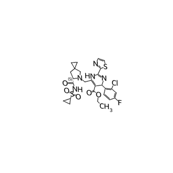 CCOC(=O)C1=C(CN2CC3(CC3)C[C@H]2C(=O)NS(=O)(=O)C2CC2)NC(c2nccs2)=NC1c1ccc(F)cc1Cl